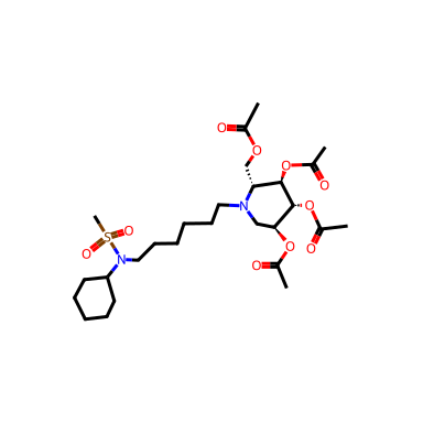 CC(=O)OC[C@@H]1[C@@H](OC(C)=O)[C@H](OC(C)=O)[C@@H](OC(C)=O)CN1CCCCCCN(C1CCCCC1)S(C)(=O)=O